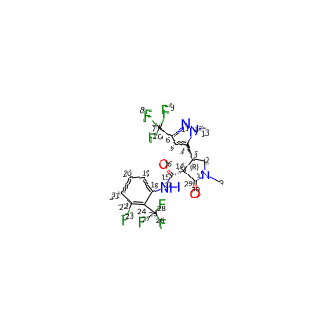 CN1C[C@H](c2cc(C(F)(F)F)nn2C)[C@@H](C(=O)Nc2cccc(F)c2C(F)(F)F)C1=O